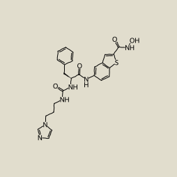 O=C(NCCCn1ccnc1)N[C@@H](Cc1ccccc1)C(=O)Nc1ccc2sc(C(=O)NO)cc2c1